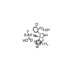 CC(C)(C)C[C@@H]1N[C@@H](C(=O)O)[C@H](c2cccc(Cl)c2F)[C@@]1(C#N)c1ccc(Br)cn1.O=C(O)C(F)(F)F